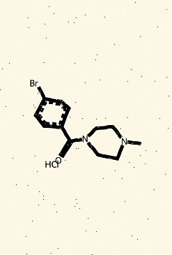 CN1CCN(C(=O)c2ccc(Br)cc2)CC1.Cl